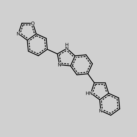 c1cnc2[nH]c(-c3ccc4[nH]c(-c5ccc6ncoc6c5)nc4c3)cc2c1